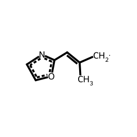 [CH2]C(C)=Cc1ncco1